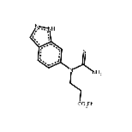 CCOC(=O)CCN(C(N)=S)c1ccc2cn[nH]c2c1